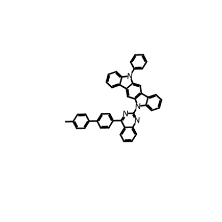 Cc1ccc(-c2ccc(-c3nc(-n4c5ccccc5c5cc6c(cc54)c4ccccc4n6-c4ccccc4)nc4ccccc34)cc2)cc1